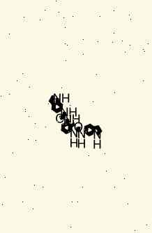 Cc1c(NC(=O)Nc2ccc3cc[nH]c3c2)cccc1NC(=O)Nc1ccc2cc[nH]c2c1